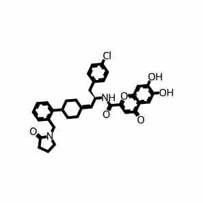 O=C(N[C@@H](C=C1CCC(c2ccccc2CN2CCCC2=O)CC1)Cc1ccc(Cl)cc1)c1cc(=O)c2cc(O)c(O)cc2o1